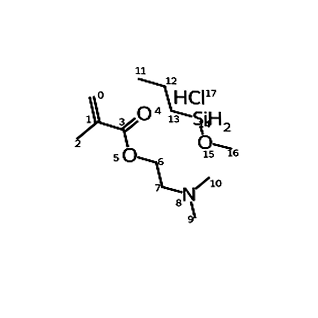 C=C(C)C(=O)OCCN(C)C.CCC[SiH2]OC.Cl